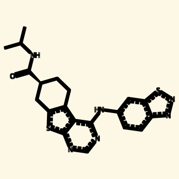 CC(C)NC(=O)[C@H]1CCc2c(sc3ncnc(Nc4ccc5nnsc5c4)c23)C1